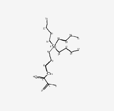 C=C(C)C(=O)OCC[CH2][Sn]([CH2]CCC)([CH2]CCC)[CH2]CCC